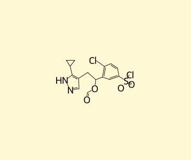 O=COC(Cc1cn[nH]c1C1CC1)c1cc(S(=O)(=O)Cl)ccc1Cl